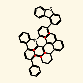 c1ccc(-c2ccc(-c3ccccc3N(c3ccc(-c4cccc5sc6ccccc6c45)cc3)c3ccccc3-c3cccc4cccc(C5CCCCC5)c34)cc2)cc1